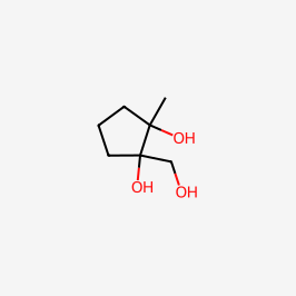 CC1(O)CCCC1(O)CO